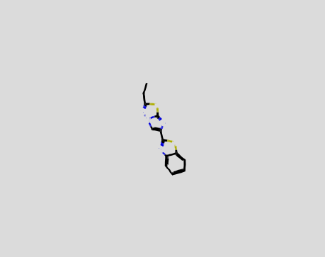 CCc1nn2cc(-c3nc4ccccc4s3)nc2s1